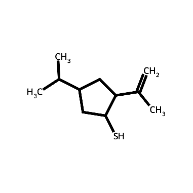 C=C(C)C1CC(C(C)C)CC1S